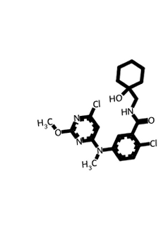 COc1nc(Cl)cc(N(C)c2ccc(Cl)c(C(=O)NCC3(O)CCCCC3)c2)n1